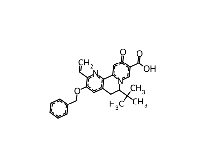 C=Cc1nc2c(cc1OCc1ccccc1)CC(C(C)(C)C)n1cc(C(=O)O)c(=O)cc1-2